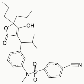 CCCC1(CCC)OC(=O)C(C(c2cccc(N(C)S(=O)(=O)c3ccc(C#N)cc3)c2)C(C)C)=C1O